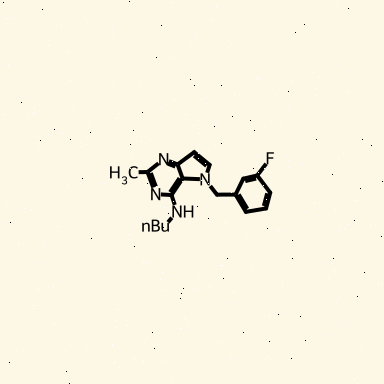 CCCCNc1nc(C)nc2ccn(Cc3cccc(F)c3)c12